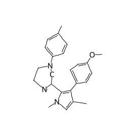 COc1ccc(-c2c(C)cn(C)c2C2CN(c3ccc(C)cc3)CC[N]2)cc1